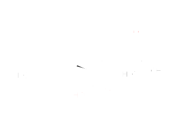 CCCCC[C@H](C(=O)O)c1ccc2c(c1)C(C)(C)CCO2